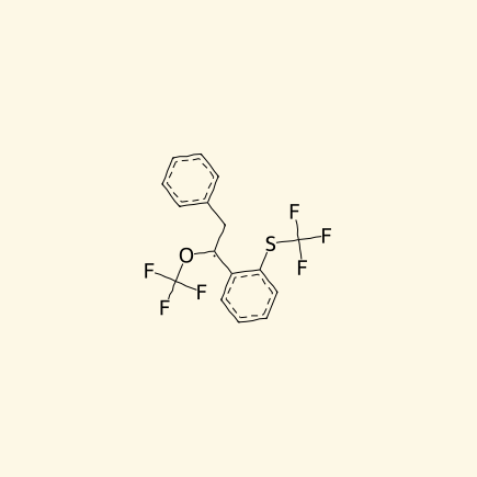 FC(F)(F)O[C](Cc1ccccc1)c1ccccc1SC(F)(F)F